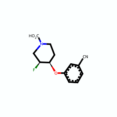 N#Cc1cccc(O[C@@H]2CCN(C(=O)O)C[C@@H]2F)c1